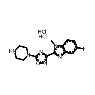 Cl.Cl.Cn1c(-c2noc(N3CCNCC3)n2)nc2cc(F)ccc21